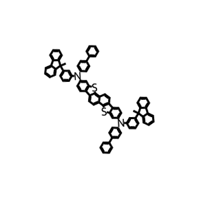 CC1(c2cccc(N(c3ccc(-c4ccccc4)cc3)c3ccc4c(c3)sc3c4ccc4c3ccc3c5ccc(N(c6ccc(-c7ccccc7)cc6)c6cccc(C7(C)c8ccccc8-c8ccccc87)c6)cc5sc34)c2)c2ccccc2-c2ccccc21